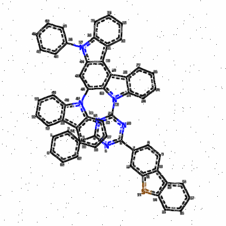 c1ccc(-c2nc(-c3ccc4c(c3)sc3ccccc34)nc(-n3c4ccccc4c4c5c6ccccc6n(-c6ccccc6)c5cc(-n5c6ccccc6c6ccccc65)c43)n2)cc1